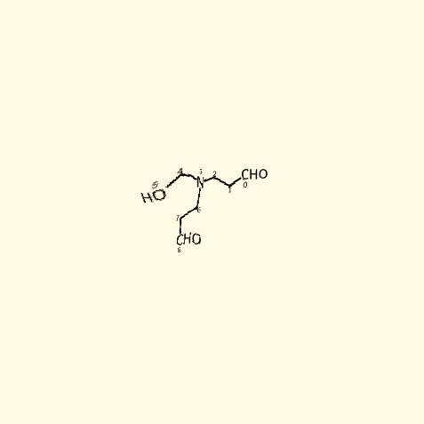 O=CCCN(CO)CCC=O